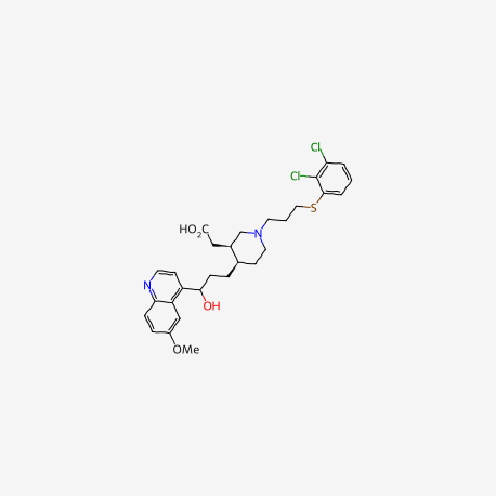 COc1ccc2nccc(C(O)CC[C@@H]3CCN(CCCSc4cccc(Cl)c4Cl)C[C@@H]3CC(=O)O)c2c1